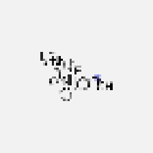 Cn1cc(C(=O)Nc2ccccc2-c2ccc(/C=N\O)cc2)c(C(F)(F)F)n1